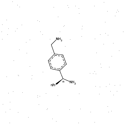 CCC[C@H](N)c1ccc(CN)cc1